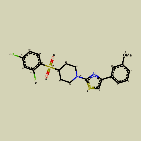 COc1cccc(-c2csc(N3CCC(S(=O)(=O)c4ccc(F)cc4F)CC3)n2)c1